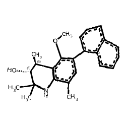 COc1c(-c2cccc3ccccc23)cc(C)c2c1[C@H](C)[C@@H](O)C(C)(C)N2